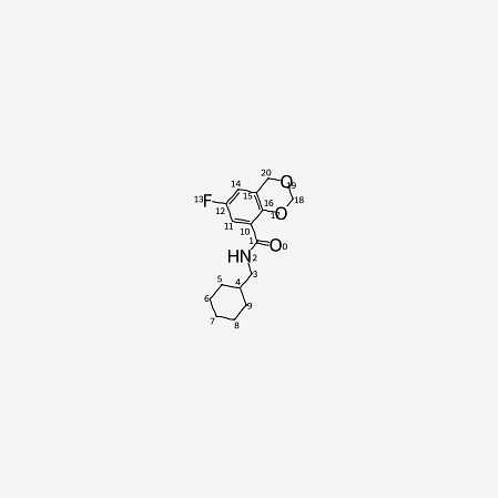 O=C(NCC1CCCCC1)c1cc(F)cc2c1OCOC2